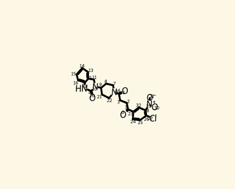 O=C(CCC(=O)N1CCC(N2Cc3ccccc3NC2=O)CC1)c1ccc(Cl)c([N+](=O)[O-])c1